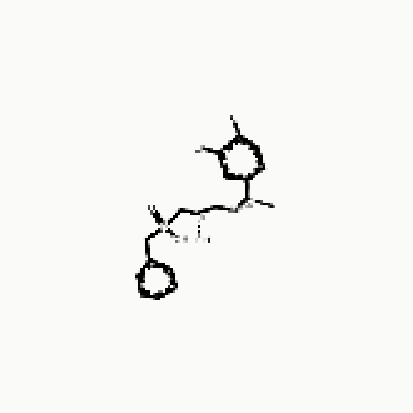 C[C@@H](NC[C@H](O)CP(=O)(O)Cc1ccccc1)c1ccc(Cl)c(Cl)c1